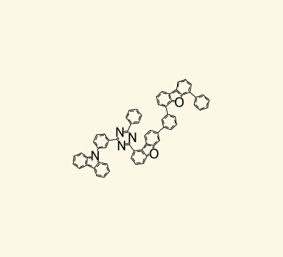 c1ccc(-c2nc(-c3cccc(-n4c5ccccc5c5ccccc54)c3)nc(-c3cccc4oc5cc(-c6cccc(-c7cccc8c7oc7c(-c9ccccc9)cccc78)c6)ccc5c34)n2)cc1